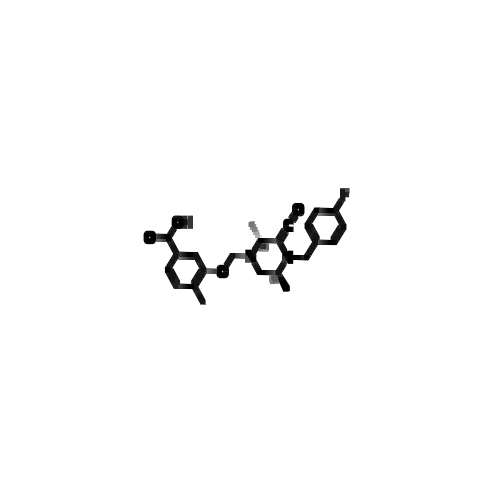 Cc1ccc(C(=O)O)cc1OCN1C[C@H](C)N(Cc2ccc(F)cc2)C(=C=O)[C@H]1C